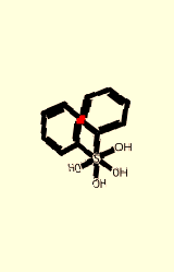 OS(O)(O)(O)(c1ccccc1)c1ccccc1